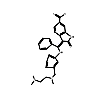 CN(C)CCN(C)Cc1cccc(N/C(=C2\C(=O)Nc3cc(C(N)=O)ccc32)c2ccccc2)c1